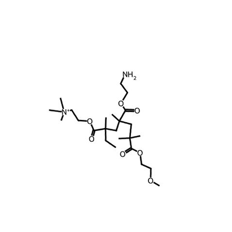 CCC(C)(CC(C)(CC(C)(C)C(=O)OCCOC)C(=O)OCCN)C(=O)OCC[N+](C)(C)C